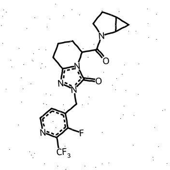 O=C(C1CCCc2nn(Cc3ccnc(C(F)(F)F)c3F)c(=O)n21)N1CCC2CC21